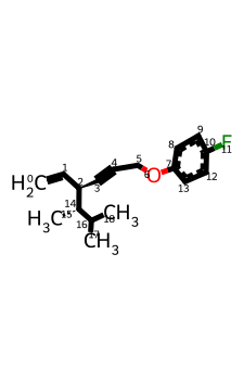 C=C[C@@H](C#CCOc1ccc(F)cc1)[C@@H](C)C(C)C